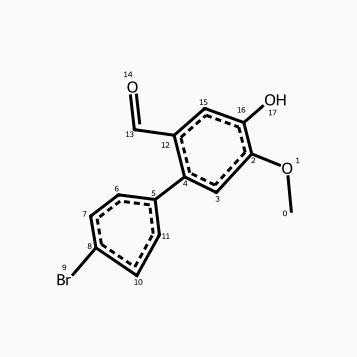 COc1cc(-c2ccc(Br)cc2)c(C=O)cc1O